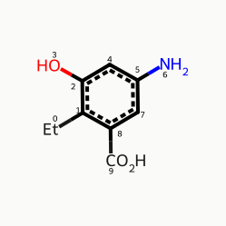 CCc1c(O)cc(N)cc1C(=O)O